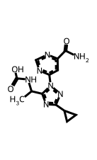 CC(NC(=O)O)c1nc(C2CC2)nn1-c1cc(C(N)=O)ncn1